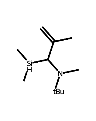 C=C(C)C(N(C)C(C)(C)C)[SiH](C)C